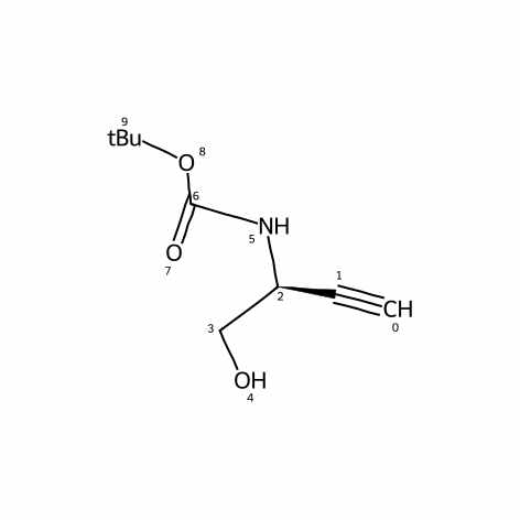 C#C[C@@H](CO)NC(=O)OC(C)(C)C